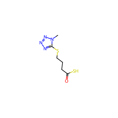 Cn1nnnc1SCCCC(=O)S